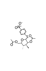 CC(=O)OCC1O[C@@H](Sc2ccc([N+](=O)[O-])cc2)C(OC(C)=O)[C@@H](C)[C@@H]1C